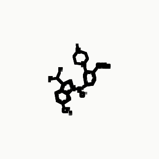 COc1ccc([S+]([O-])n2cc(C(F)F)c3ccc(C(F)(F)F)cc32)cc1N1CCN(C)CC1